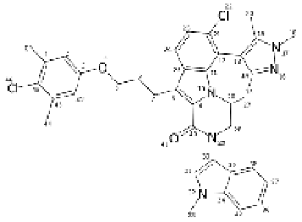 Cc1cc(OCCCc2c3n(c4c(-c5c(C)nn(C)c5C)c(Cl)ccc24)C(C)CN(c2cn(C)c4ccccc24)C3=O)cc(C)c1Cl